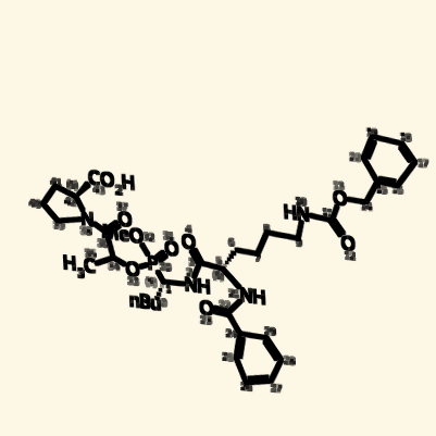 CCCC[C@@H](NC(=O)[C@H](CCCCNC(=O)OCc1ccccc1)NC(=O)c1ccccc1)P(=O)(OC)OC(C)C(=O)N1CCC[C@H]1C(=O)O